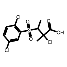 CC(C(C)(Cl)C(=O)O)S(=O)(=O)c1cc(Cl)ccc1Cl